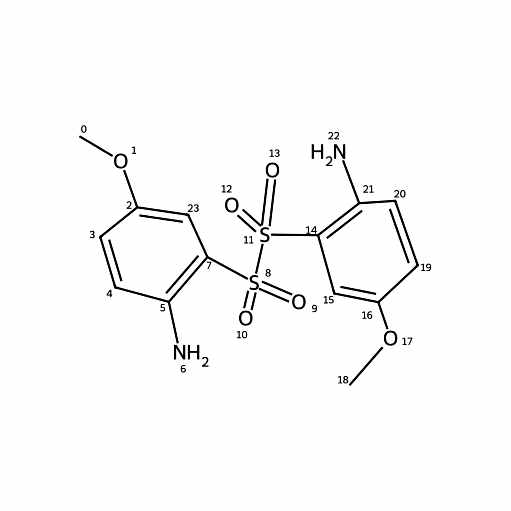 COc1ccc(N)c(S(=O)(=O)S(=O)(=O)c2cc(OC)ccc2N)c1